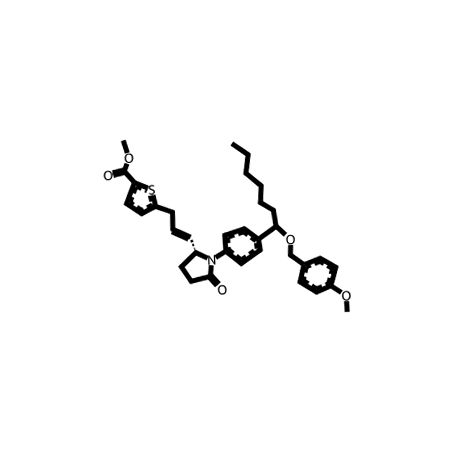 CCCCCCC(OCc1ccc(OC)cc1)c1ccc(N2C(=O)CC[C@@H]2C=CCc2ccc(C(=O)OC)s2)cc1